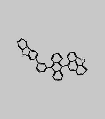 c1cc(-c2ccc3c(c2)sc2ccccc23)cc(-c2c3ccccc3c(-c3cc4cccc5oc6cccc3c6c45)c3ccccc23)c1